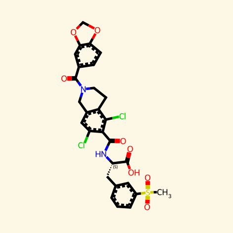 CS(=O)(=O)c1cccc(C[C@H](NC(=O)c2c(Cl)cc3c(c2Cl)CCN(C(=O)c2ccc4c(c2)OCO4)C3)C(=O)O)c1